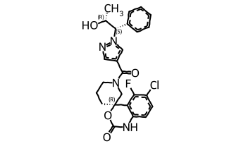 C[C@@H](O)[C@H](c1ccccc1)n1cc(C(=O)N2CCC[C@@]3(C2)OC(=O)Nc2ccc(Cl)c(F)c23)cn1